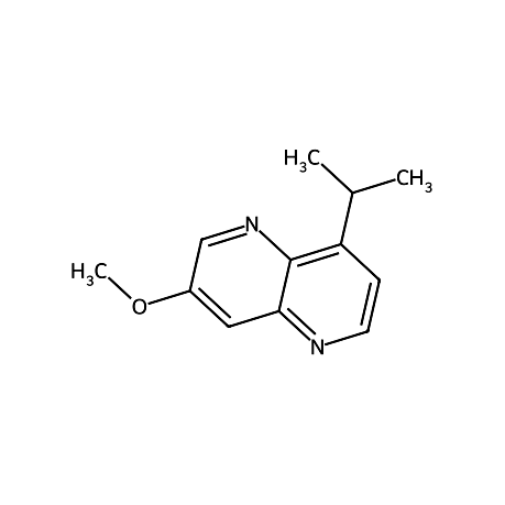 COc1cnc2c(C(C)C)ccnc2c1